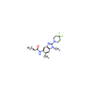 C=CC(=O)Nc1cc2nc(N3CCC(F)(F)CC3)n(C)c2cc1C